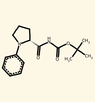 CC(C)(C)OC(=O)NC(=O)[C@H]1CCCN1c1ccccc1